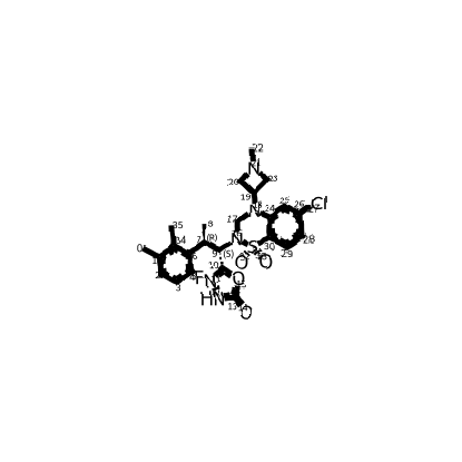 Cc1ccc(F)c([C@@H](C)[C@@H](c2n[nH]c(=O)o2)N2CN(C3CN(C)C3)c3cc(Cl)ccc3S2(=O)=O)c1C